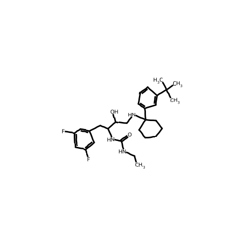 CCNC(=O)NC(Cc1cc(F)cc(F)c1)C(O)CNC1(c2cccc(C(C)(C)C)c2)CCCCC1